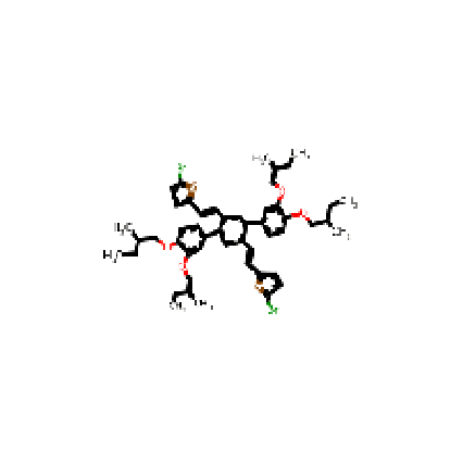 CCC(C)COc1ccc(-c2cc(/C=C/c3ccc(Br)s3)c(-c3ccc(OCC(C)CC)c(OCC(C)CC)c3)cc2/C=C/c2ccc(Br)s2)cc1OCC(C)CC